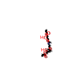 C=CC(=O)OCC(O)CO/C(C)=C/CCOC(C)(C)CC(O)COC(=O)C=C